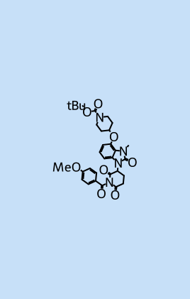 COc1ccc(C(=O)N2C(=O)CCC(n3c(=O)n(C)c4c(OC5CCN(C(=O)OC(C)(C)C)CC5)cccc43)C2=O)cc1